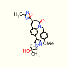 COc1ccc(CN2C(=O)CC(c3nc(C)no3)=Cc3ccc(-c4cnn(CC(C)(C)O)c4)cc32)cc1